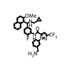 COc1ccc2ccccc2c1C(NCC1CC1)c1ccc(F)c(NC(=O)c2cc(C(F)(F)F)nn2-c2cccc(CN)c2)c1